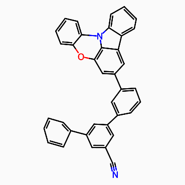 N#Cc1cc(-c2ccccc2)cc(-c2cccc(-c3cc4c5c(c3)c3ccccc3n5-c3ccccc3O4)c2)c1